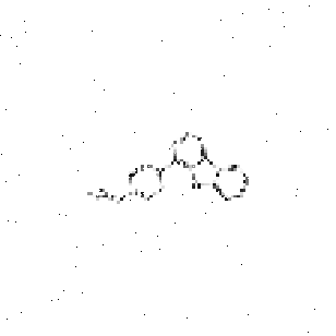 C=Cc1ccc(-c2cccc3c2oc2ccccc23)cc1